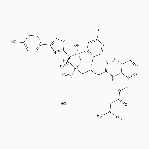 Cc1cccc(COC(=O)CN(C)C)c1NC(=O)OCC[N+]1(C[C@](O)(c2cc(F)ccc2F)[C@@H](C)c2nc(-c3ccc(C#N)cc3)cs2)C=NC=N1.Cl.[I-]